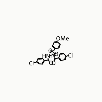 COc1ccc(S(=O)(=O)N(NC(=O)c2ccc(Cl)cc2)C(=O)c2ccc(Cl)cc2)cc1